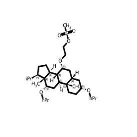 CCCO[C@@H]1CC[C@@]2(C)[C@@H](C1)C[C@@H](OCCOS(C)(=O)=O)[C@@H]1[C@@H]2C[C@H](OCCC)[C@]2(C)[C@@H](C(C)C)CC[C@@H]12